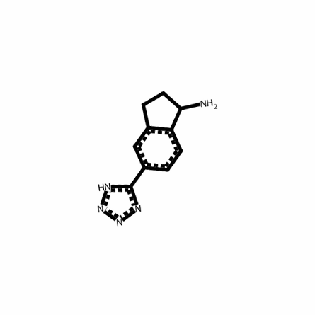 NC1CCc2cc(-c3nnn[nH]3)ccc21